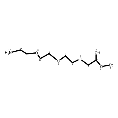 CCOC(O)COCCOCCOCCN